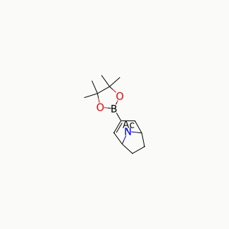 CC(=O)N1C2C=C(B3OC(C)(C)C(C)(C)O3)CC1CC2